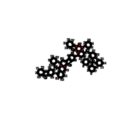 c1ccc(C2(c3ccccc3)c3ccccc3-c3ccc(N(c4ccccc4-c4ccc5sc6ccccc6c5c4)c4ccc(-c5ccc6c(c5)sc5ccc(-c7ccccc7N(c7ccc8sc9ccccc9c8c7)c7cccc8ccccc78)cc56)c5ccccc45)cc32)cc1